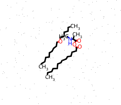 CCCCCCCCCCCCCC(=O)OC(=O)C(C)NC.CCCCCCCCCCOCCCCCC